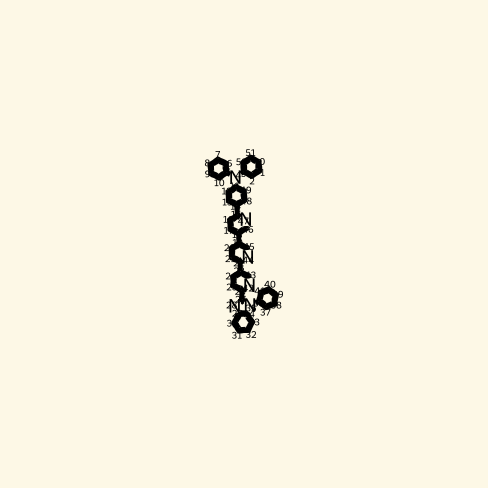 c1ccc(N(c2ccccc2)c2ccc(-c3ccc(-c4ccc(-c5ccc(-c6nc7ccccc7n6-c6ccccc6)nc5)nc4)cn3)cc2)cc1